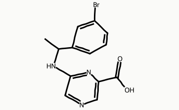 CC(Nc1cncc(C(=O)O)n1)c1cccc(Br)c1